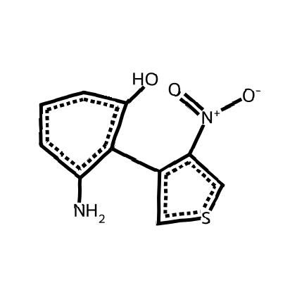 Nc1cccc(O)c1-c1cscc1[N+](=O)[O-]